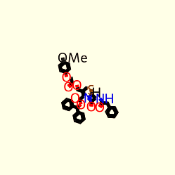 COc1ccc(OCC(=O)OCC2=C(C(=O)OC(c3ccccc3)c3ccccc3)N3C(=O)C(NC(=O)Cc4ccccc4)[C@H]3SC2)cc1